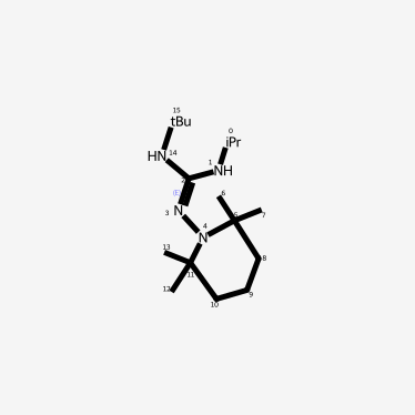 CC(C)N/C(=N\N1C(C)(C)CCCC1(C)C)NC(C)(C)C